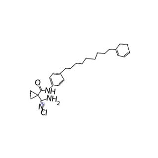 N/C(=N\Cl)C1(C(=O)Nc2ccc(CCCCCCCCCC3=CC=CCC3)cc2)CC1